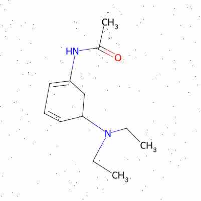 CCN(CC)[C]1C=CC=C(NC(C)=O)C1